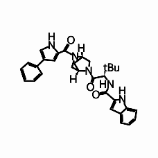 CC(C)(C)[C@H](NC(=O)c1cc2ccccc2[nH]1)C(=O)N1C[C@@H]2C[C@H]1CN2C(=O)c1cc(-c2ccccc2)c[nH]1